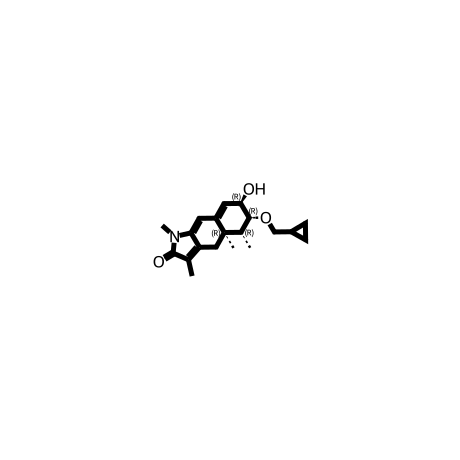 CC1=C2C[C@@]3(C)C(=C[C@@H](O)[C@H](OCC4CC4)[C@@H]3C)C=C2N(C)C1=O